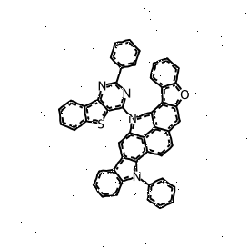 c1ccc(-c2nc(-n3c4cc5c6ccccc6n(-c6ccccc6)c5c5ccc6cc7oc8ccccc8c7c3c6c54)c3sc4ccccc4c3n2)cc1